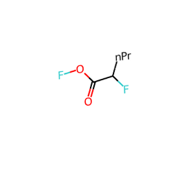 CCCC(F)C(=O)OF